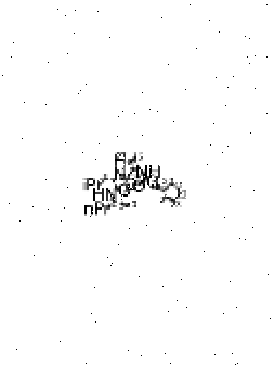 C#C[C@H](CCC)NC(=O)[C@H](CC(C)C)NC(=O)[C@@H](NC(=O)OCc1ccccc1)C(=C)C